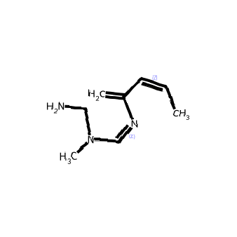 C=C(/C=C\C)/N=C\N(C)CN